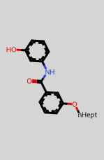 CCCCCCCOc1cccc(C(=O)Nc2cccc(O)c2)c1